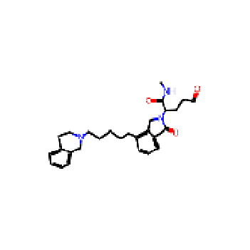 CNC(=O)C(CCC=O)N1Cc2c(CCCCCN3CCc4ccccc4C3)cccc2C1=O